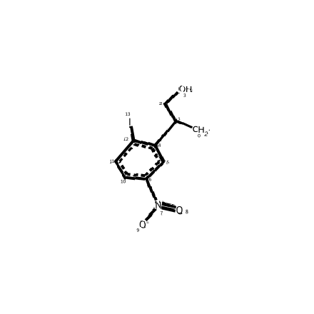 [CH2]C(CO)c1cc([N+](=O)[O-])ccc1I